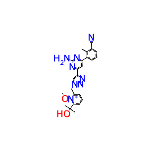 CO[n+]1c(Cn2cc(-c3cc(-c4cccc(C#N)c4C)nc(N)n3)nn2)cccc1C(C)(C)O